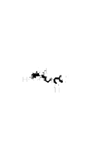 O=c1[nH]c(=S)n([C@H]2CC[C@@](F)(COP(=O)(O)OP(=O)(O)O)O2)cc1CO